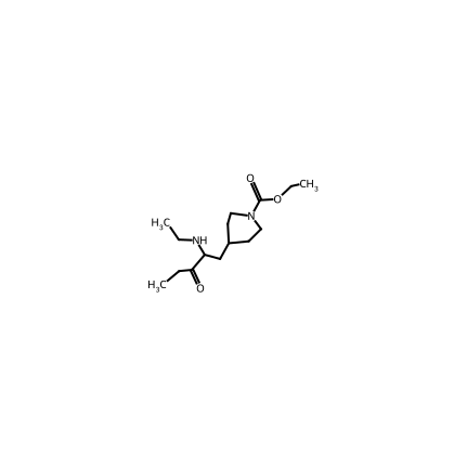 CCNC(CC1CCN(C(=O)OCC)CC1)C(=O)CC